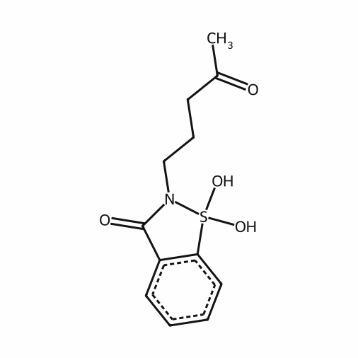 CC(=O)CCCN1C(=O)c2ccccc2S1(O)O